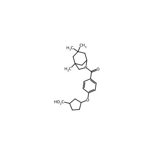 CC1(C)CC2CC(C)(CN2C(=O)c2ccc(OC3CCC(C(=O)O)C3)cc2)C1